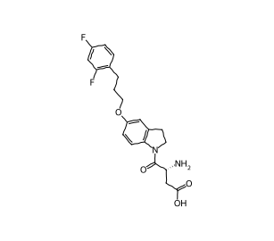 N[C@H](CC(=O)O)C(=O)N1CCc2cc(OCCCc3ccc(F)cc3F)ccc21